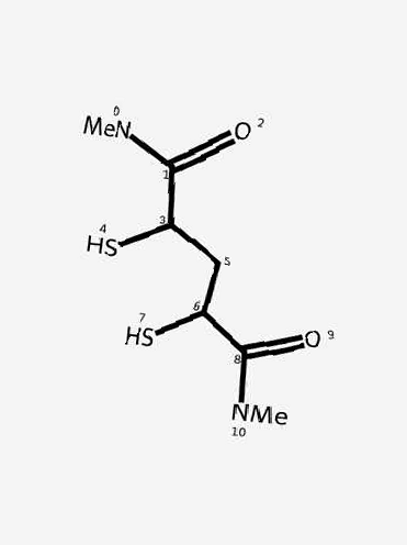 CNC(=O)C(S)CC(S)C(=O)NC